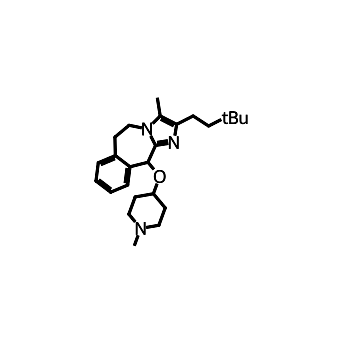 Cc1c(CCC(C)(C)C)nc2n1CCc1ccccc1C2OC1CCN(C)CC1